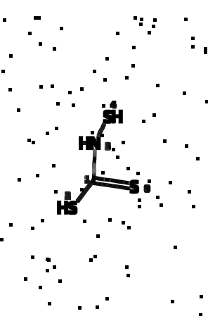 S=C(S)NS